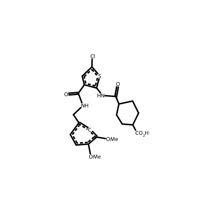 COc1ccc(CNC(=O)c2cc(Cl)sc2NC(=O)C2CCC(C(=O)O)CC2)cc1OC